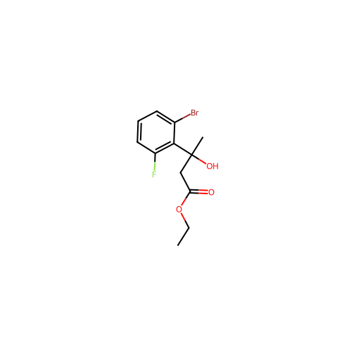 CCOC(=O)CC(C)(O)c1c(F)cccc1Br